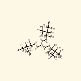 FC(F)(F)C(F)(C(F)(F)F)C(F)(F)OOB(OOC(F)(F)C(F)(C(F)(F)F)C(F)(F)F)OOC(F)(F)C(F)(C(F)(F)F)C(F)(F)F